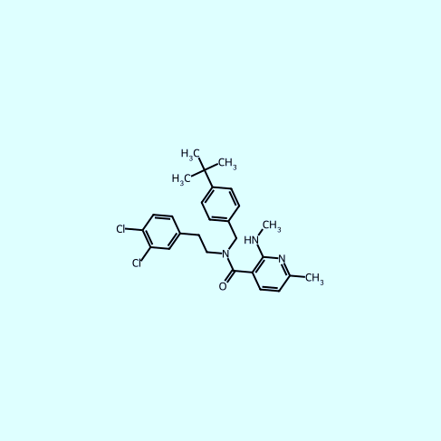 CNc1nc(C)ccc1C(=O)N(CCc1ccc(Cl)c(Cl)c1)Cc1ccc(C(C)(C)C)cc1